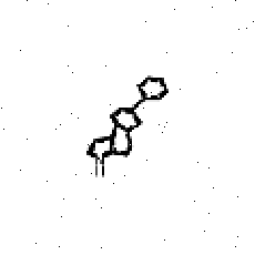 c1ccc(-c2ccc3c(ccc4[nH]ccc43)c2)cc1